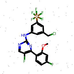 COc1cc(F)ccc1-c1nc(Nc2cc(CCl)cc(S(F)(F)(F)(F)F)c2)ncc1F